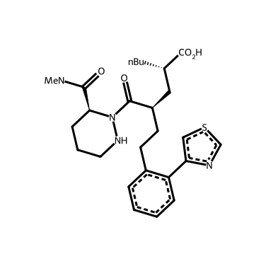 CCCC[C@@H](C[C@@H](CCc1ccccc1-c1cscn1)C(=O)N1NCCC[C@H]1C(=O)NC)C(=O)O